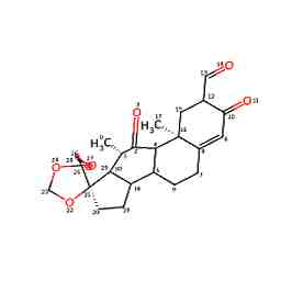 C[C@@H]1C(=O)C2C(CCC3=CC(=O)C(C=O)C[C@@]32C)C2CC[C@@]3(OCOC34COCO4)C21